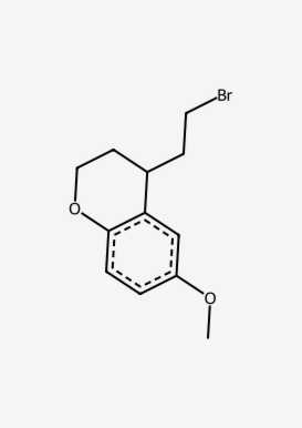 COc1ccc2c(c1)C(CCBr)CCO2